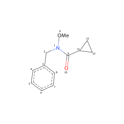 CON(Cc1cc[c]cc1)C(=O)C1CC1